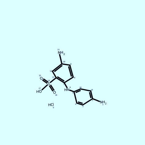 Cl.Nc1ccc(Nc2ccc(N)cc2S(=O)(=O)O)cc1